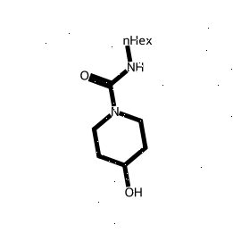 CCCCCCNC(=O)N1CCC(O)CC1